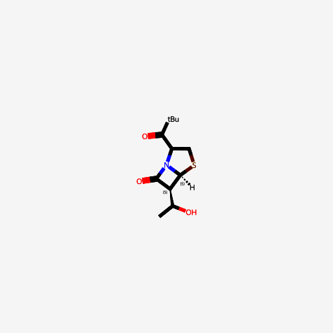 CC(O)[C@H]1C(=O)N2C(C(=O)C(C)(C)C)CS[C@@H]12